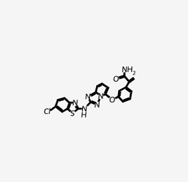 C=C(C(N)=O)c1cccc(Oc2cccc3nc(Nc4nc5ccc(Cl)cc5s4)nn23)c1